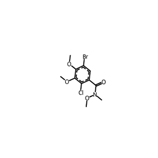 COc1c(Br)cc(C(=O)N(C)OC)c(Cl)c1OC